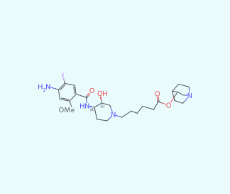 COc1cc(N)c(I)cc1C(=O)N[C@@H]1CCN(CCCCCC(=O)OC2CN3CCC2CC3)C[C@@H]1O